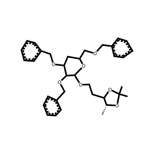 C[C@H]1OC(C)(C)OC1CCOC1OC(COCc2ccccc2)CC(OCc2ccccc2)C1OCc1ccccc1